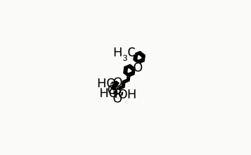 Cc1cccc(Oc2cccc(CCCC(P(=O)(O)O)S(=O)(=O)O)c2)c1